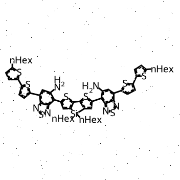 CCCCCCc1ccc(-c2ccc(-c3cc(N)c(-c4cc5c(s4)-c4sc(-c6c(N)cc(-c7ccc(-c8ccc(CCCCCC)s8)s7)c7nsnc67)cc4[Si]5(CCCCCC)CCCCCC)c4nsnc34)s2)s1